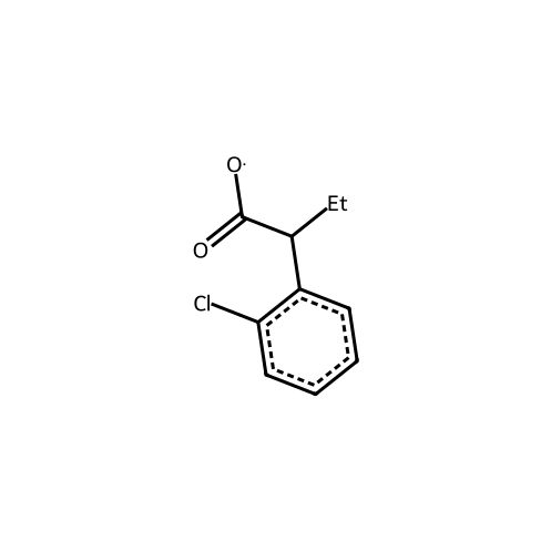 CCC(C([O])=O)c1ccccc1Cl